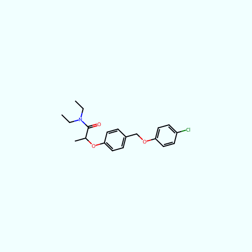 CCN(CC)C(=O)C(C)Oc1ccc(COc2ccc(Cl)cc2)cc1